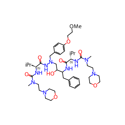 COCCOc1ccc(CN(CC(O)C(Cc2ccccc2)NC(=O)[C@@H](NC(=O)N(C)CCN2CCOCC2)C(C)C)NC(=O)[C@@H](NC(=O)N(C)CCN2CCOCC2)C(C)C)cc1